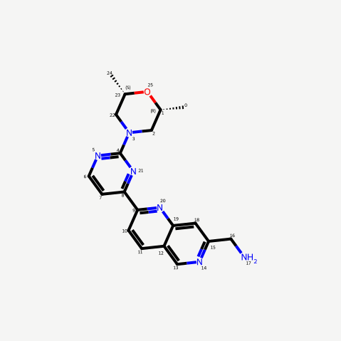 C[C@@H]1CN(c2nccc(-c3ccc4cnc(CN)cc4n3)n2)C[C@H](C)O1